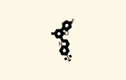 Cc1cc(-c2ccc3cc(S(C)(C)C)ccc3n2)c2oc3cc(F)ccc3c2c1